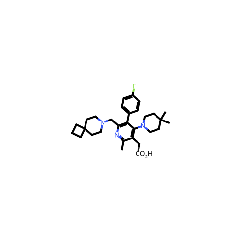 Cc1nc(CN2CCC3(CCC3)CC2)c(-c2ccc(F)cc2)c(N2CCC(C)(C)CC2)c1CC(=O)O